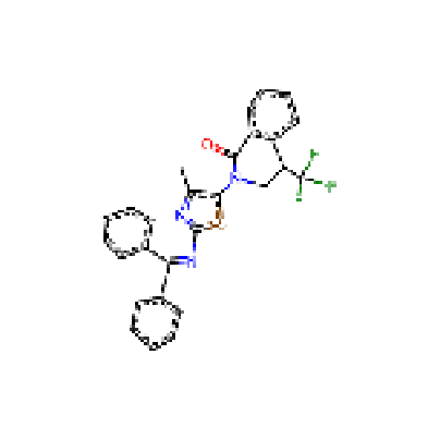 Cc1nc(N=C(c2ccccc2)c2ccccc2)sc1N1CC(C(F)(F)F)c2ccccc2C1=O